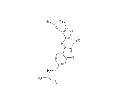 CC(C)NCc1ccc(-c2nc3c(oc4ccc(Br)cc43)c(=O)[nH]2)c(Cl)c1